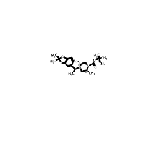 CC(c1ccc2c(c1)OC(C)(C)O2)N1C[C@H](C)N(C(=O)OC(C)(C)C)C[C@H]1C